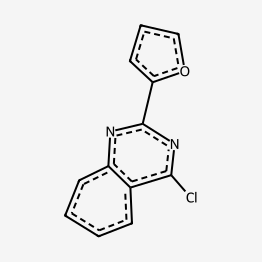 Clc1nc(-c2ccco2)nc2ccccc12